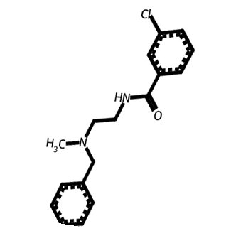 CN(CCNC(=O)c1cccc(Cl)c1)Cc1ccccc1